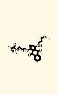 C[C@@H](N)C(=O)NCCCNc1ccc(NCCCN)c2c1C(=O)c1ccccc1C2=O